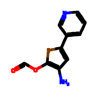 Nc1cc(-c2cccnc2)sc1OC=O